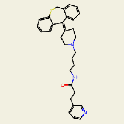 O=C(CCc1cccnc1)NCCCCN1CCC(=C2c3ccccc3CSc3ccccc32)CC1